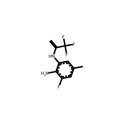 C=C(Nc1cc(C)cc(F)c1N)C(F)(F)F